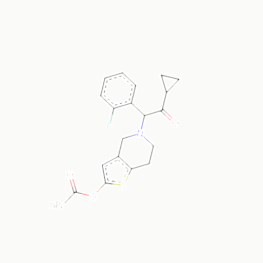 CCCC(=O)Oc1cc2c(s1)CCN(C(C(=O)C1CC1)c1ccccc1F)C2